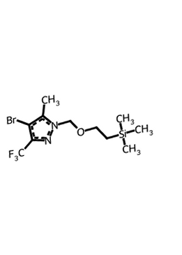 Cc1c(Br)c(C(F)(F)F)nn1COCC[Si](C)(C)C